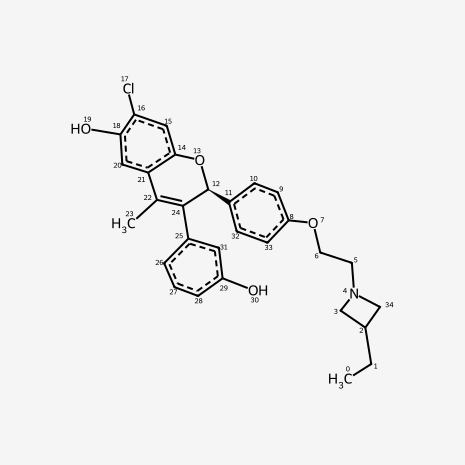 CCC1CN(CCOc2ccc([C@@H]3Oc4cc(Cl)c(O)cc4C(C)=C3c3cccc(O)c3)cc2)C1